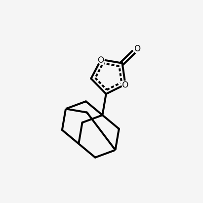 O=c1occ(C23CC4CC(CC(C4)C2)C3)o1